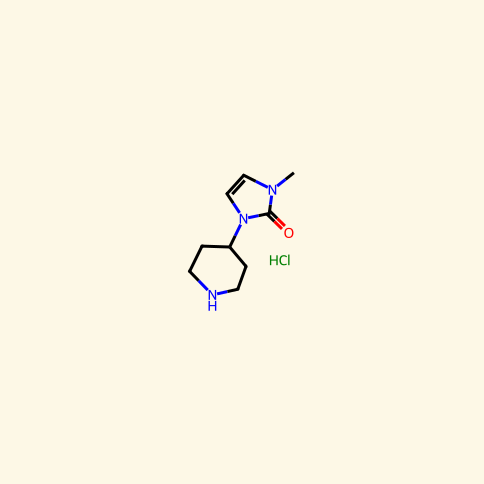 Cl.Cn1ccn(C2CCNCC2)c1=O